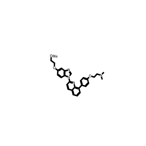 COCCOc1ccc2c(c1)ncn2-c1ccc2cccc(-c3ccc(OCCN(C)C)cc3)c2n1